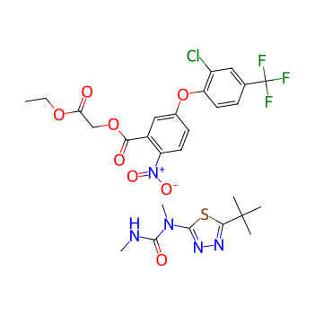 CCOC(=O)COC(=O)c1cc(Oc2ccc(C(F)(F)F)cc2Cl)ccc1[N+](=O)[O-].CNC(=O)N(C)c1nnc(C(C)(C)C)s1